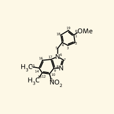 COc1ccc(Cn2cnc3c([N+](=O)[O-])c(C)c(C)cc32)cc1